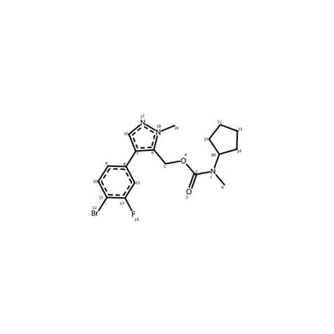 CN(C(=O)OCc1c(-c2ccc(Br)c(F)c2)cnn1C)C1CCCC1